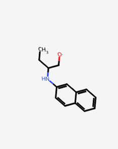 CCC(C[O])Nc1ccc2ccccc2c1